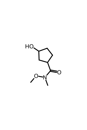 CON(C)C(=O)C1CCC(O)C1